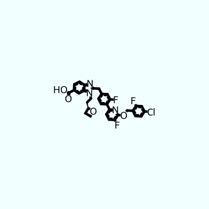 O=C(O)c1ccc2nc(Cc3ccc(-c4ccc(F)c(OCc5ccc(Cl)cc5F)n4)c(F)c3)n(CC[C@@H]3CCO3)c2c1